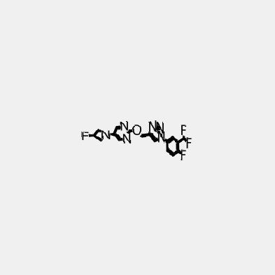 Fc1ccc(-n2cc(COc3ncc(N4CC(F)C4)cn3)nn2)cc1C(F)F